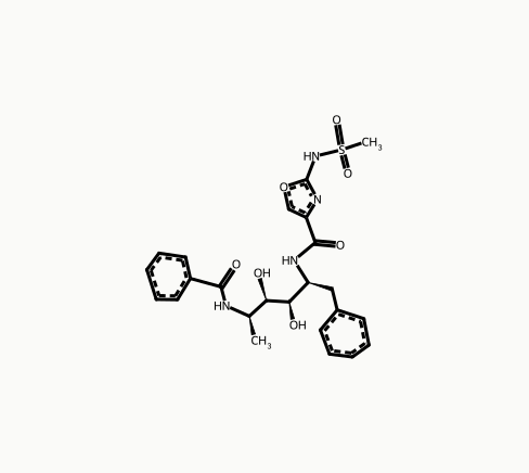 C[C@@H](NC(=O)c1ccccc1)[C@@H](O)[C@H](O)[C@H](Cc1ccccc1)NC(=O)c1coc(NS(C)(=O)=O)n1